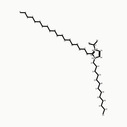 CCCCCCCCCCCCCCCCCCCc1n(CCCCCCCCCCCCC)cc[n+]1C(C)C